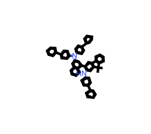 CC1(C)c2ccccc2-c2cc(-c3cc(N(c4ccc(-c5ccccc5)cc4)c4ccc(-c5ccccc5)cc4)cc4ccccc34)c(Nc3ccc(-c4ccccc4)cc3)cc21